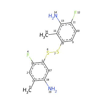 Cc1cc(F)c(SSc2ccc(F)c(N)c2C)cc1N